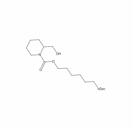 CCCCCCCCCCCCCCCCOC(=O)N1CCCCC1CO